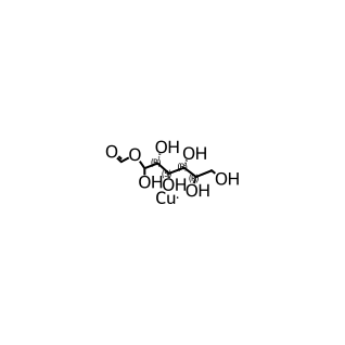 O=COC(O)[C@H](O)[C@@H](O)[C@H](O)[C@H](O)CO.[Cu]